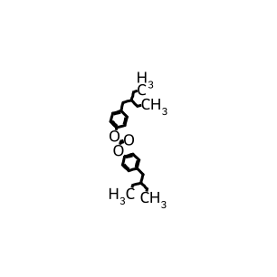 CCC(CC)Cc1ccc(OC(=O)Oc2ccc(CC(CC)CC)cc2)cc1